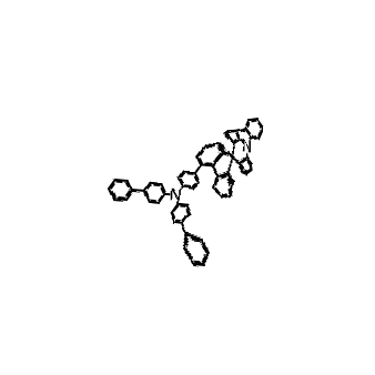 c1ccc(-c2ccc(N(c3ccc(-c4ccccc4)cc3)c3ccc(-c4cccc5c4-c4ccccc4C54c5ccccc5-n5c6ccccc6c6cccc4c65)cc3)cc2)cc1